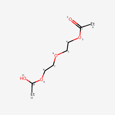 CCC(=O)OCCOCCOC(O)CC